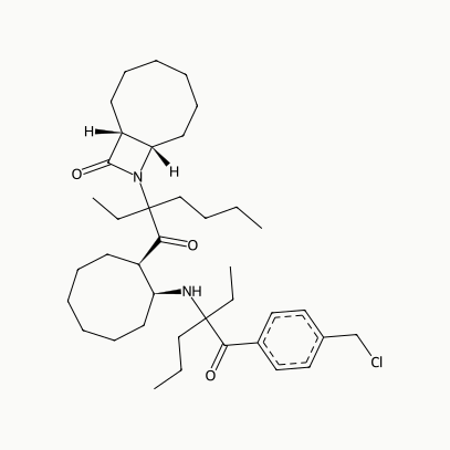 CCCCC(CC)(C(=O)[C@@H]1CCCCCC[C@@H]1NC(CC)(CCC)C(=O)c1ccc(CCl)cc1)N1C(=O)[C@@H]2CCCCCC[C@@H]21